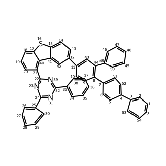 c1ccc(-c2ccc(-c3ccc(-c4ccc5sc6cccc(-c7nc(-c8ccccc8)nc(-c8ccccc8)n7)c6c5c4)cc3-c3ccccc3)cc2)cc1